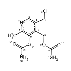 Cc1ncc(CCl)c(COC(N)=O)c1OC(N)=O